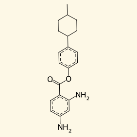 CC1CCC(c2ccc(OC(=O)c3ccc(N)cc3N)cc2)CC1